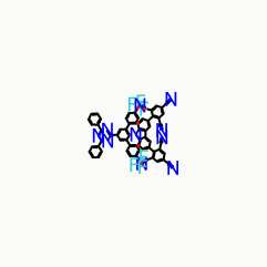 N#Cc1cc(C#N)c(-c2ccc3c(c2)c2cc(-c4c(C#N)cc(C#N)cc4C#N)ccc2n3-c2c(-c3ccc(C(F)(F)F)cc3)cc(-c3nc(-c4ccccc4)nc(-c4ccccc4)n3)cc2-c2ccc(C(F)(F)F)cc2)c(C#N)c1